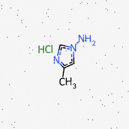 Cc1cn(N)cn1.Cl